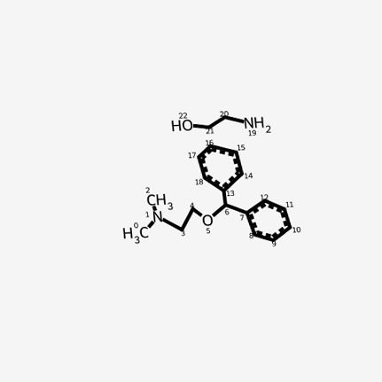 CN(C)CCOC(c1ccccc1)c1ccccc1.NCCO